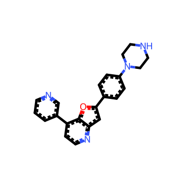 c1cncc(-c2ccnc3cc(-c4ccc(N5CCNCC5)cc4)oc23)c1